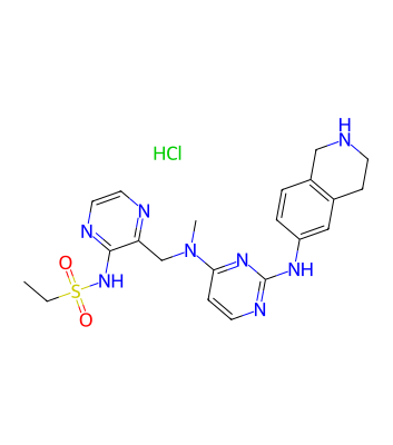 CCS(=O)(=O)Nc1nccnc1CN(C)c1ccnc(Nc2ccc3c(c2)CCNC3)n1.Cl